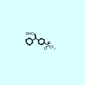 O=C/C=C(\c1ccccc1)c1ccc(S(=O)(=O)C(F)(F)F)cc1